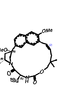 COc1cc2ccc3cc2cc1/C=C\CC(C)(C)COC(=O)N[C@@H](C(C)(C)C)C(=O)N1C[C@@]3(OC)C[C@H]1C